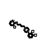 O=C1C=CC=NC1/N=C/CCCN1CCN(c2cccc(Cl)c2Cl)CC1